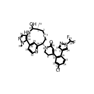 C[C@@H]1CCC[C@H](N2CCC(c3cc(Cl)ccc3-c3cnn(C(F)F)c3)=CC2=O)c2cc(ccn2)-c2c(cnn2C)NC1O